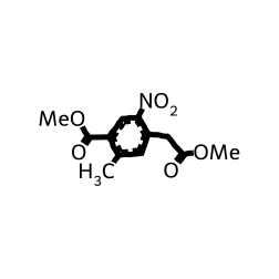 COC(=O)Cc1cc(C)c(C(=O)OC)cc1[N+](=O)[O-]